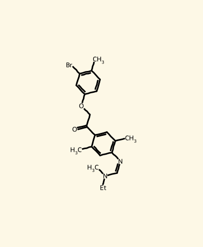 CCN(C)/C=N\c1cc(C)c(C(=O)COc2ccc(C)c(Br)c2)cc1C